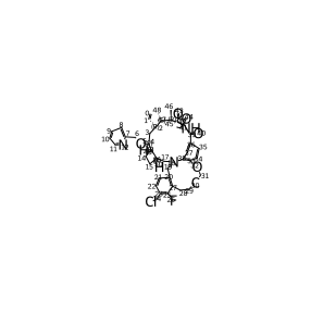 C=C[C@H]1C[C@H](OCc2ccccn2)[C@@H]2CC[C@H]2CN2Cc3ccc(Cl)c(F)c3CCCCOc3ccc(cc32)C(=O)NS(=O)(=O)[C@H](C)[C@H]1C